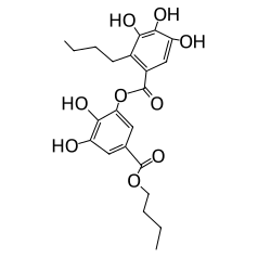 CCCCOC(=O)c1cc(O)c(O)c(OC(=O)c2cc(O)c(O)c(O)c2CCCC)c1